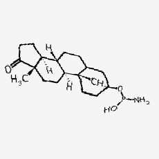 C[C@]12CC[C@H](OP(N)O)CC1CC[C@@H]1[C@@H]2CC[C@]2(C)C(=O)CC[C@@H]12